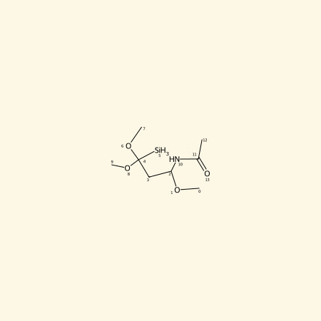 COC(CC([SiH3])(OC)OC)NC(C)=O